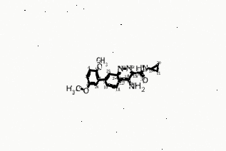 COc1ccc(OC)c(-c2ccc3c(N)c(C(=O)NC4CC4)nnc3c2)c1